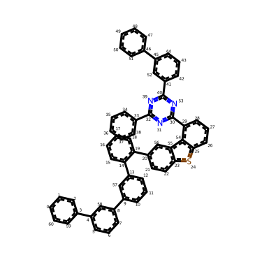 c1ccc(-c2cccc(-c3cccc(-c4ccccc4-c4ccc5sc6cccc(-c7nc(-c8ccccc8)nc(-c8cccc(-c9ccccc9)c8)n7)c6c5c4)c3)c2)cc1